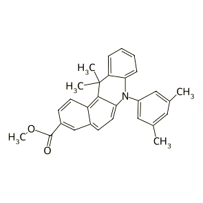 COC(=O)c1ccc2c3c(ccc2c1)N(c1cc(C)cc(C)c1)c1ccccc1C3(C)C